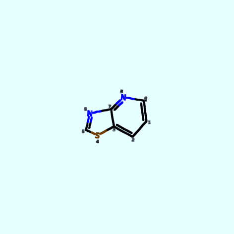 [c]1ccc2scnc2n1